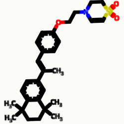 C/C(=C\c1ccc(OCCN2C=CS(=O)(=O)CC2)cc1)c1ccc2c(c1)C(C)(C)CCC2(C)C